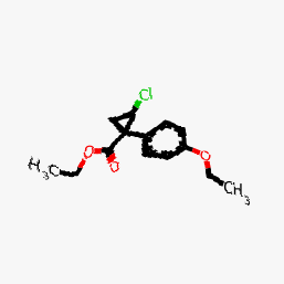 CCOC(=O)C1(c2ccc(OCC)cc2)CC1Cl